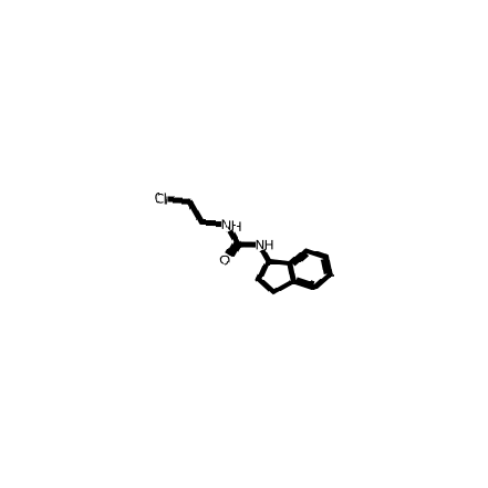 O=C(NCCCl)NC1CCc2ccccc21